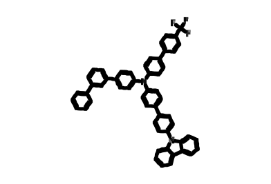 FC(F)(F)c1ccc(-c2ccc(N(c3ccc(-c4ccc(-n5c6ccccc6c6ccccc65)cc4)cc3)c3ccc(-c4cccc(-c5ccccc5)c4)cc3)cc2)cc1